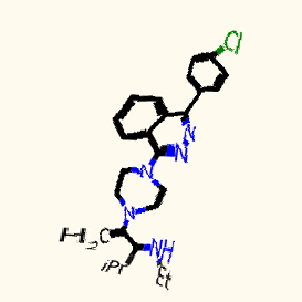 C=C(C(NCC)C(C)C)N1CCN(c2nnc(-c3ccc(Cl)cc3)c3ccccc23)CC1